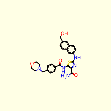 NC(=O)c1nc(Nc2ccc3cc(CO)ccc3c2)sc1NC(=O)c1ccc(CN2CCOCC2)cc1